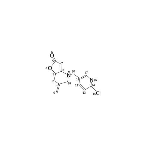 C=C1CC2OC(=O)C=C2N(Cc2ccc(Cl)nc2)C1